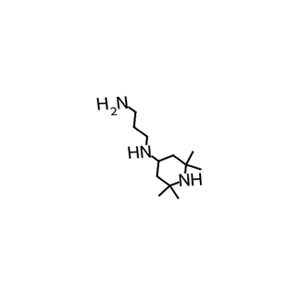 CC1(C)CC(NCCCN)CC(C)(C)N1